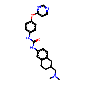 CN(C)CC1CCc2cc(NC(=O)Nc3ccc(Oc4ccncn4)cc3)ccc2C1